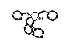 C(=C1CS(=Cc2ccccc2)(=Cc2ccccc2)C(=Cc2ccccc2)N1)c1ccccc1